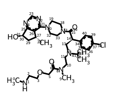 CNCCOCC(=O)N(C)CCN(C[C@@H](C(=O)N1CCN(c2ncnc3c2[C@H](C)C[C@H]3O)CC1)c1ccc(Cl)cc1)C(C)C